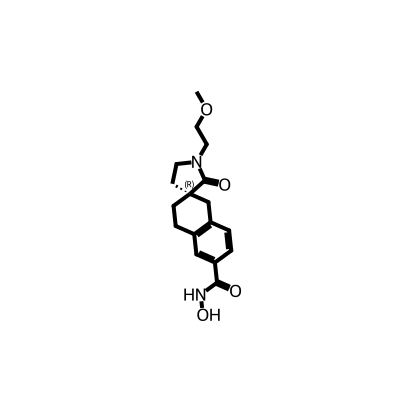 COCCN1CC[C@]2(CCc3cc(C(=O)NO)ccc3C2)C1=O